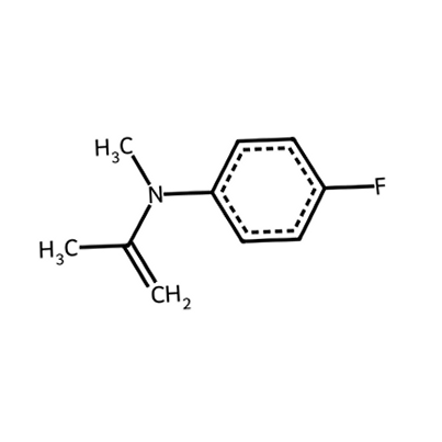 C=C(C)N(C)c1ccc(F)cc1